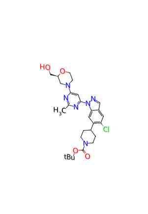 Cc1nc(N2CCO[C@H](CO)C2)cc(-n2ncc3cc(Cl)c(C4CCN(C(=O)OC(C)(C)C)CC4)cc32)n1